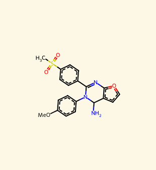 COc1ccc(N2C(c3ccc(S(C)(=O)=O)cc3)=Nc3occc3C2N)cc1